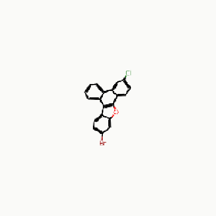 Clc1ccc2c(c1)c1ccccc1c1c3ccc(Br)cc3oc21